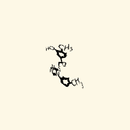 Cc1ccc(-n2cnnc2SCC(=O)c2ccc(C)c(O)c2)cc1